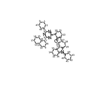 c1ccc(-c2nc(-c3cccc4ccccc34)nc(-c3cccc4c3oc3c4ccc4c3c3ccccc3n4-c3ccccc3)n2)cc1